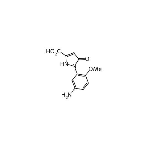 COc1ccc(N)cc1-n1[nH]c(C(=O)O)cc1=O